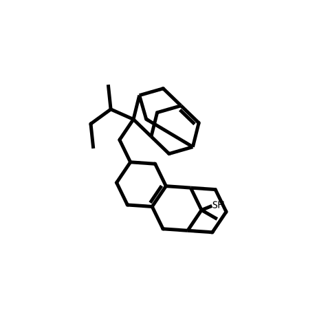 CCC(C)C1(CC2CCC3=C(C2)C2CCCC(C3)C2(C)S)C2CC3=CC(C2)CC1C3